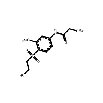 COCC(=O)Nc1ccc(S(=O)(=O)CCO)c(OC)c1